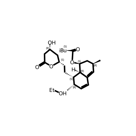 CCO.CC[C@H](C)C(=O)O[C@H]1C[C@@H](C)C=C2C=C[C@H](C)[C@H](CC[C@H]3C[C@@H](O)CC(=O)O3)[C@H]21